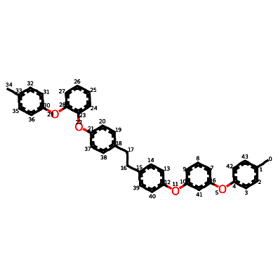 Cc1ccc(Oc2cccc(Oc3ccc(CCc4ccc(Oc5ccccc5Oc5ccc(C)cc5)cc4)cc3)c2)cc1